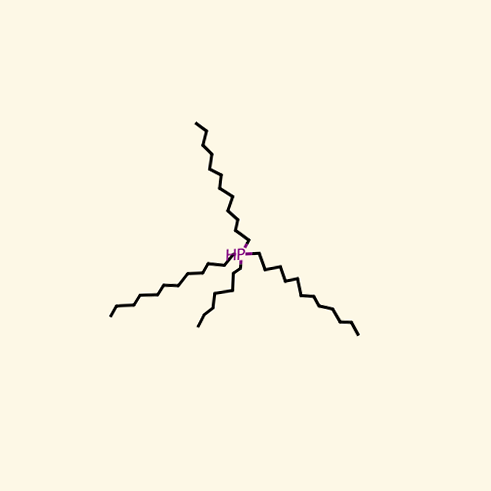 CCCCCCCCCCCC[PH](CCCCCCC)(CCCCCCCCCCCC)CCCCCCCCCCCC